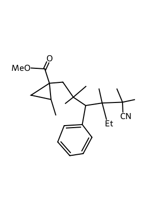 CCC(C)(C(c1ccccc1)C(C)(C)CC1(C(=O)OC)CC1C)C(C)(C)C#N